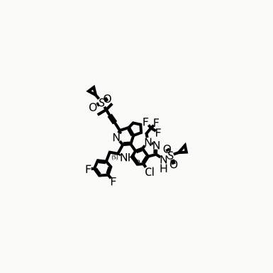 CC(C)(C#Cc1nc([C@@H](N)Cc2cc(F)cc(F)c2)c(-c2ccc(Cl)c3c(NS(=O)(=O)C4CC4)nn(CC(F)(F)F)c23)c2c1CCC2)S(=O)(=O)C1CC1